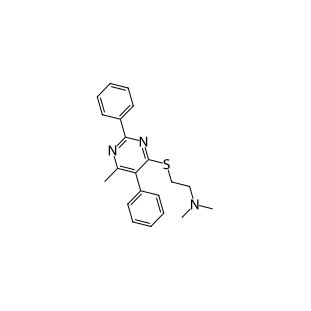 Cc1nc(-c2ccccc2)nc(SCCN(C)C)c1-c1ccccc1